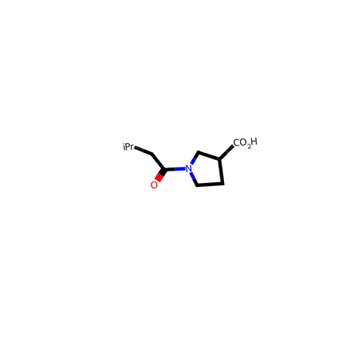 CC(C)CC(=O)N1CCC(C(=O)O)C1